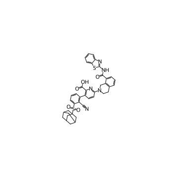 N#Cc1c(-c2ccc(N3CCc4cccc(C(=O)Nc5nc6ccccc6s5)c4C3)nc2C(=O)O)cccc1S(=O)(=O)C12CC3CC(CC(C3)C1)C2